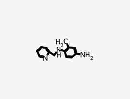 Cc1cc(N)ccc1NCc1ccccn1